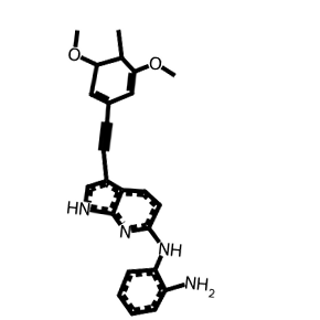 COC1=CC(C#Cc2c[nH]c3nc(Nc4ccccc4N)ccc23)=CC(OC)C1C